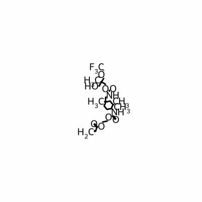 C=CC(=O)OCCOC(=O)NC1CCC(C)(CNC(=O)OCC(C)(CO)COCC(F)(F)F)CC1(C)C